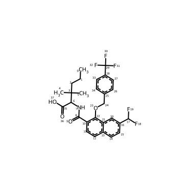 CCCC(C)(C)C(NC(=O)c1ccc2ccc(C(F)F)cc2c1OCc1ccc(C(F)(F)F)cc1)C(=O)O